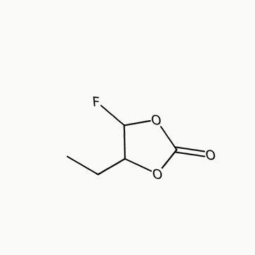 CCC1OC(=O)OC1F